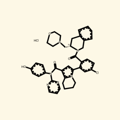 Cl.O=C(c1cc(-c2cc(Cl)ccc2C(=O)N2Cc3ccccc3C[C@H]2CN2CCOCC2)n2c1CCCC2)N(c1ccc(O)cc1)c1ncccn1